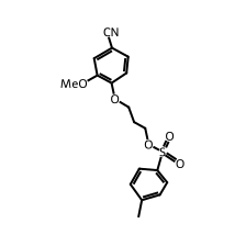 COc1cc(C#N)ccc1OCCCOS(=O)(=O)c1ccc(C)cc1